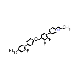 C/C=C/c1ccc(-c2ccc(COc3ccc(-c4ccc(OCC)cc4F)cc3)c(F)c2F)cc1